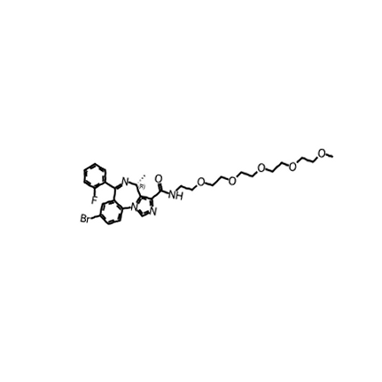 COCCOCCOCCOCCOCCNC(=O)c1ncn2c1[C@@H](C)N=C(c1ccccc1F)c1cc(Br)ccc1-2